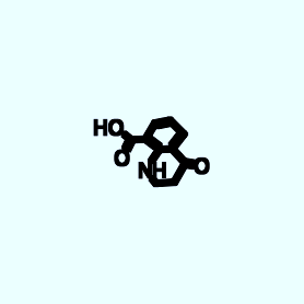 O=C(O)c1cccc2c1NCCC2=O